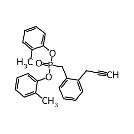 C#CCc1ccccc1CP(=O)(Oc1ccccc1C)Oc1ccccc1C